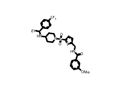 CCC(NC1CCN(S(=O)(=O)c2ccc(CNC(=O)c3cccc(OC)c3)s2)CC1)c1ccc(C(F)(F)F)cc1